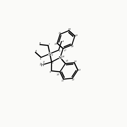 [2H]C1([Si](CC)(CC)CC)Cc2ccccc2N1c1ccccc1